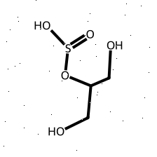 O=S(O)OC(CO)CO